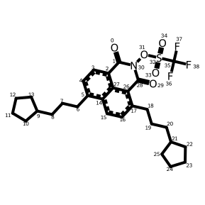 O=C1c2ccc(CCCC3CCCC3)c3ccc(CCCC4CCCC4)c(c23)C(=O)N1OS(=O)(=O)C(F)(F)F